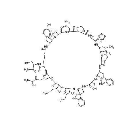 CCCC[C@H]1C(=O)N(C)[C@@H](CCCC)C(=O)N[C@@H](CCCNC(=N)N)C(=O)NC(C(=O)NC(CO)C(N)=O)CSCC(=O)N[C@@H](Cc2ccc(O)cc2)C(=O)N(C)[C@@H](C)C(=O)N[C@@H](CC(N)=O)C(=O)N2CCC[C@H]2C(=O)N[C@@H](Cc2cnc[nH]2)C(=O)N[C@@H](CC(C)C)C(=O)N2CCC[C@H]2C(=O)N[C@@H](Cc2c[nH]c3ccccc23)C(=O)N[C@@H](CO)C(=O)N[C@@H](Cc2c[nH]c3ccccc23)C(=O)N1C